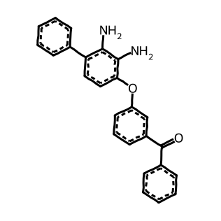 Nc1c(Oc2cccc(C(=O)c3ccccc3)c2)ccc(-c2ccccc2)c1N